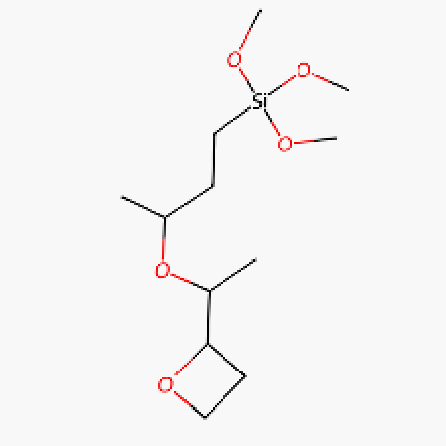 CO[Si](CCC(C)OC(C)C1CCO1)(OC)OC